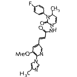 COc1cc(C=CC(=O)NN2C=CC(C)N(c3ccc(F)cc3)C2=O)cnc1-n1cnc(C)c1